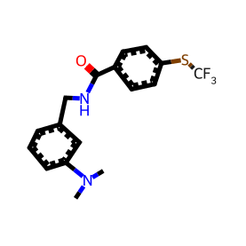 CN(C)c1cccc(CNC(=O)c2ccc(SC(F)(F)F)cc2)c1